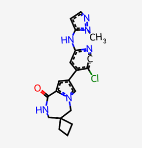 Cn1nccc1Nc1cc(-c2cc3n(c2)CC2(CCC2)CNC3=O)c(Cl)cn1